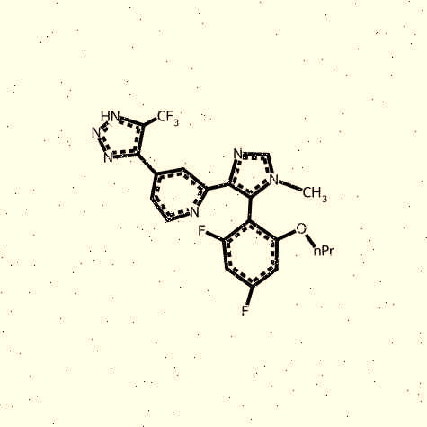 CCCOc1cc(F)cc(F)c1-c1c(-c2cc(-c3nn[nH]c3C(F)(F)F)ccn2)ncn1C